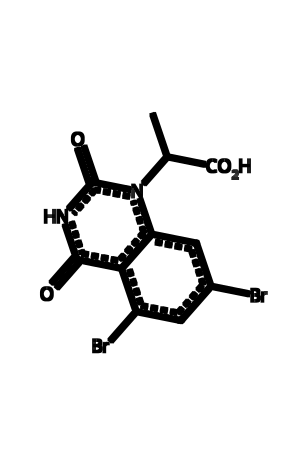 CC(C(=O)O)n1c(=O)[nH]c(=O)c2c(Br)cc(Br)cc21